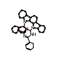 C1=CCCC(C2=NC(c3ccccc3)=NC(n3c4ccccc4c4ccc5c6ccccc6n(-c6ccccc6)c5c43)N2)=C1